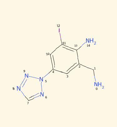 NCc1cc(-n2ncnn2)cc(I)c1N